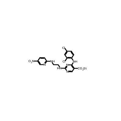 CCOC(=O)c1cnc(NCCNc2ccc([N+](=O)[O-])cn2)nc1Nc1ccc(Cl)cc1Cl